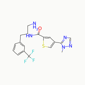 Cn1ncnc1-c1csc(C(=O)NC(CN)Cc2cccc(C(F)(F)F)c2)c1